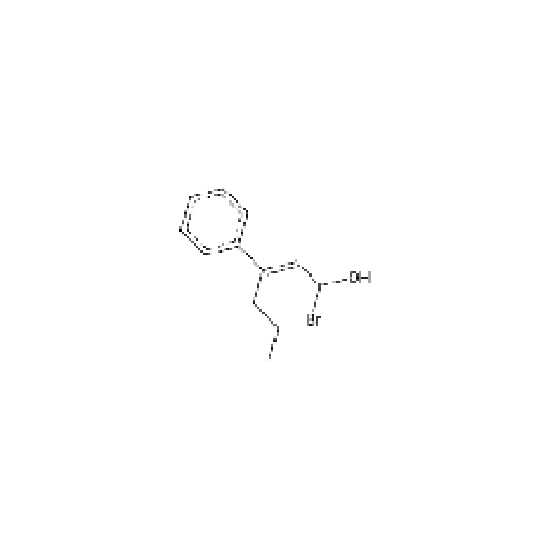 CCCC(=CC(O)Br)c1ccccc1